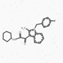 Cc1c(C(=O)C(=O)NC2CCCCC2)c2ccccc2n1Cc1ccc(F)cc1